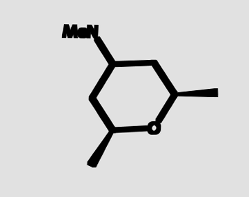 CNC1C[C@@H](C)O[C@@H](C)C1